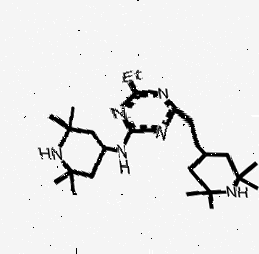 CCc1nc(CC2CC(C)(C)NC(C)(C)C2)nc(NC2CC(C)(C)NC(C)(C)C2)n1